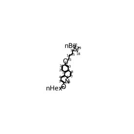 CCCCCCOc1ccc2c(ccc3cc(OCCCC[Si](C)(C)CCCC)ccc32)n1